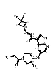 C=CC(=O)N1CCC(Nc2cnc3[nH]cc(C(=O)NCC4CC(F)(F)C4)c3n2)C(C)C1